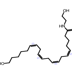 O=C(CCC/C=C\C/C=C\C/C=C\C/C=C\CCCCCO)NCCO